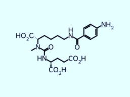 CN(C(=O)N[C@@H](CCC(=O)O)C(=O)O)[C@@H](CCCCNC(=O)c1ccc(N)cc1)C(=O)O